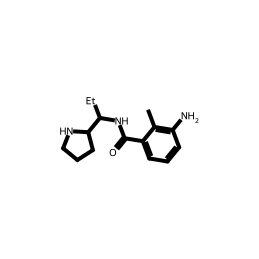 CCC(NC(=O)c1cccc(N)c1C)C1CCCN1